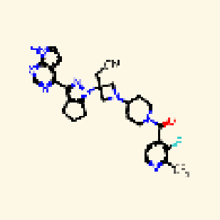 N#CCC1(n2nc(-c3ncnc4[nH]ccc34)c3c2CCC3)CN(C2CCN(C(=O)c3ccnc(C(F)(F)F)c3F)CC2)C1